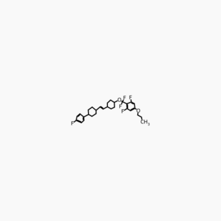 CCCOc1cc(F)c(C(F)(F)OC2CCC(/C=C/C3CCC(c4ccc(F)cc4)CC3)CC2)c(F)c1